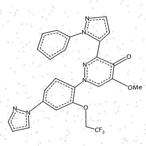 COc1cn(-c2ccc(-n3cccn3)cc2OCC(F)(F)F)nc(-c2ccnn2-c2ccccc2)c1=O